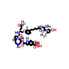 CC(=O)N1CC[C@H]2CC[C@@H](C(=O)N[C@@H](CCC(N)=O)COc3cccc(CCCCCC(=O)N[C@H](C(=O)N4C[C@H](O)C[C@H]4C)C(C)(C)C)c3F)N2C(=O)[C@@H](NC(=O)c2cc3cc(C(=O)P(=O)(O)O)ccc3[nH]2)C1